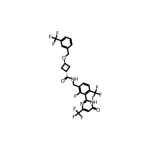 O=c1cc(C(F)(F)F)nc(-c2c(C(F)(F)F)ccc(CNC(=O)[C@H]3C[C@H](OCc4cccc(C(F)(F)F)c4)C3)c2F)[nH]1